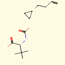 C=CCC[C@@H]1C[C@H]1OC(=O)N[C@H](C(=O)O)C(C)(C)C